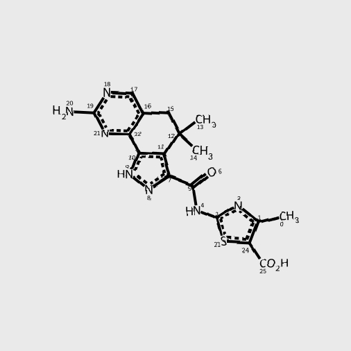 Cc1nc(NC(=O)c2n[nH]c3c2C(C)(C)Cc2cnc(N)nc2-3)sc1C(=O)O